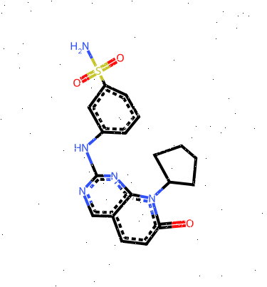 NS(=O)(=O)c1cccc(Nc2ncc3ccc(=O)n(C4CCCC4)c3n2)c1